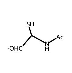 CC(=O)NC(S)[C]=O